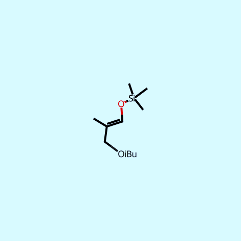 CC(=CO[Si](C)(C)C)COCC(C)C